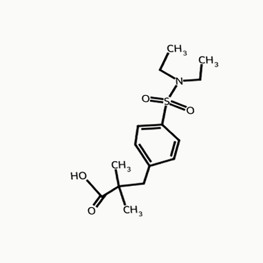 CCN(CC)S(=O)(=O)c1ccc(CC(C)(C)C(=O)O)cc1